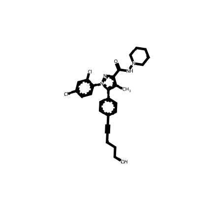 Cc1c(C(=O)NN2CCCCC2)nn(-c2ccc(Cl)cc2Cl)c1-c1ccc(C#CCCCO)cc1